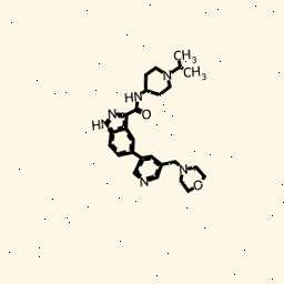 CC(C)N1CCC(NC(=O)c2n[nH]c3ccc(-c4cncc(CN5CCOCC5)c4)cc23)CC1